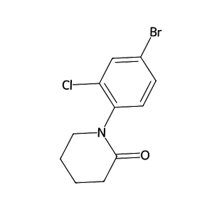 O=C1CCCCN1c1ccc(Br)cc1Cl